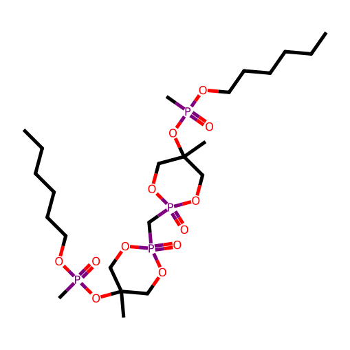 CCCCCCOP(C)(=O)OC1(C)COP(=O)(CP2(=O)OCC(C)(OP(C)(=O)OCCCCCC)CO2)OC1